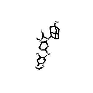 Cn1c(=O)n(C2C3CC4CC2CC(C#N)(C4)C3)c2nc(Nc3cn4ncnc4cc3Cl)ncc21